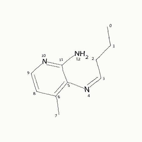 CCC/C=N\c1c(C)ccnc1N